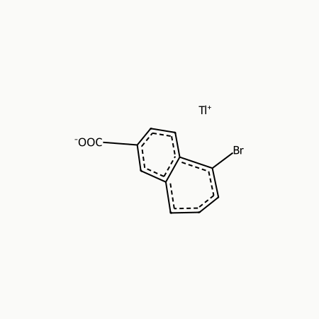 O=C([O-])c1ccc2c(Br)cccc2c1.[Tl+]